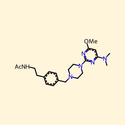 COc1cc(N(C)C)nc(N2CCN(Cc3ccc(CCNC(C)=O)cc3)CC2)n1